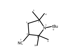 CC(C)(C)N1C(C)(C)CC(C#N)C1(C)C